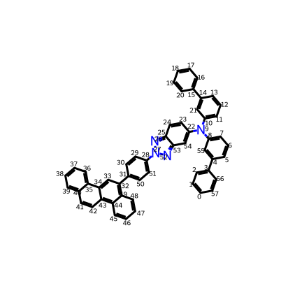 c1ccc(-c2cccc(N(c3cccc(-c4ccccc4)c3)c3ccc4nn(-c5ccc(-c6cc7c8ccccc8ccc7c7ccccc67)cc5)nc4c3)c2)cc1